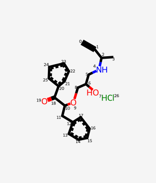 C#CC(C)NCC(O)COC(Cc1ccccc1)C(=O)c1ccccc1.Cl